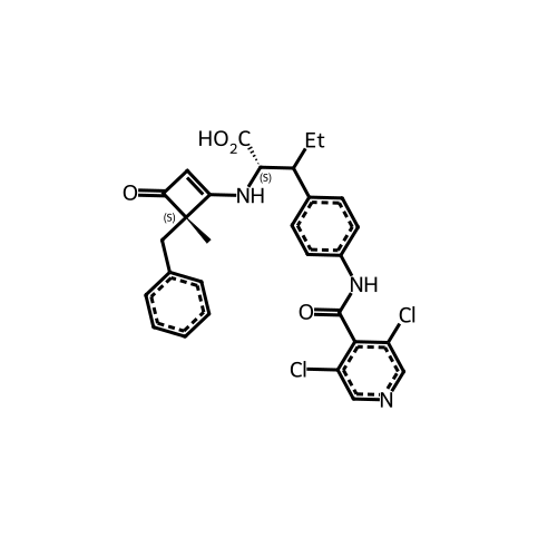 CCC(c1ccc(NC(=O)c2c(Cl)cncc2Cl)cc1)[C@H](NC1=CC(=O)[C@@]1(C)Cc1ccccc1)C(=O)O